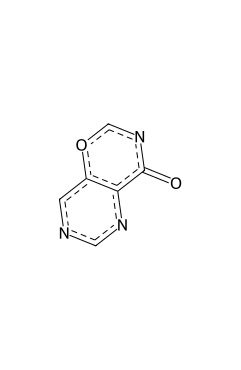 O=c1ncoc2cncnc12